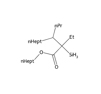 CCCCCCCOC(=O)C([SiH3])(CC)C(CCC)CCCCCCC